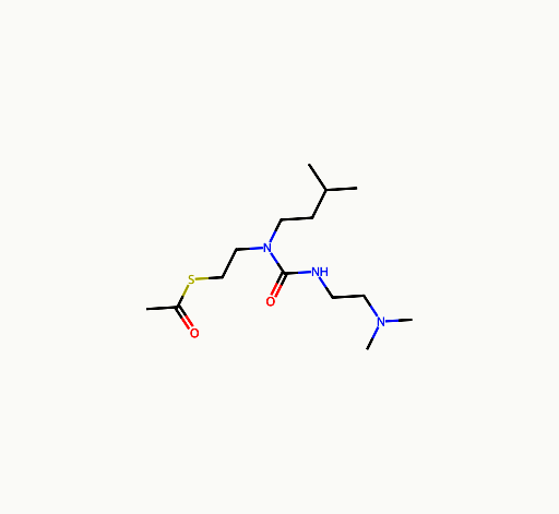 CC(=O)SCCN(CCC(C)C)C(=O)NCCN(C)C